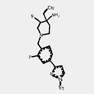 CCn1ccc(-c2ccc(CN3CCC(N)(CC#N)C(F)C3)c(F)c2)n1